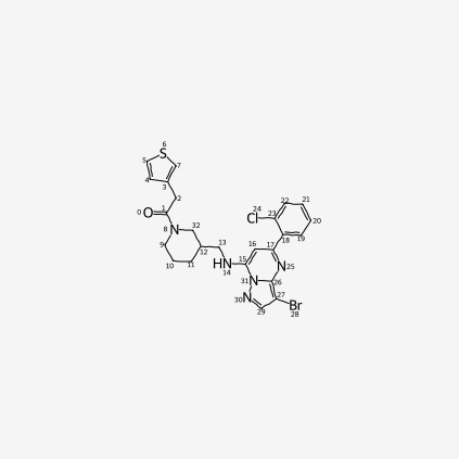 O=C(Cc1ccsc1)N1CCCC(CNc2cc(-c3ccccc3Cl)nc3c(Br)cnn23)C1